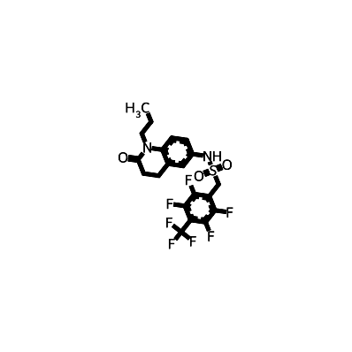 CCCN1C(=O)CCc2cc(NS(=O)(=O)Cc3c(F)c(F)c(C(F)(F)F)c(F)c3F)ccc21